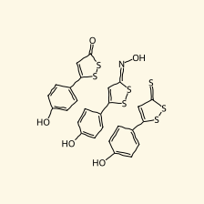 O=c1cc(-c2ccc(O)cc2)ss1.ON=c1cc(-c2ccc(O)cc2)ss1.Oc1ccc(-c2cc(=S)ss2)cc1